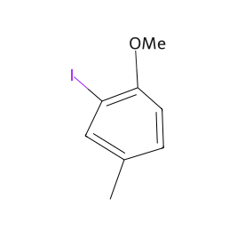 COc1ccc(C)cc1I